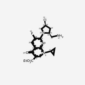 CCOC(=O)c1cn(C2CC2)c2nc(N3C[C@@H](Cl)C[C@H]3CN)c(F)cc2c1=O